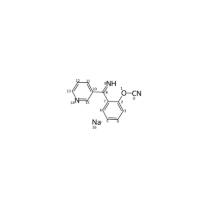 N#COc1ccccc1C(=N)c1cccnc1.[Na]